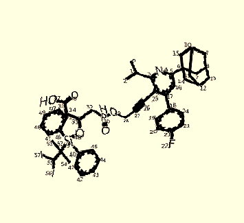 CC(C)c1nc(C23CC4CC(CC(C4)C2)C3)cc(-c2ccc(F)cc2)c1C#CCO[PH](=O)CC(CC(=O)O)O[Si](c1ccccc1)(c1ccccc1)C(C)(C)C(I)I